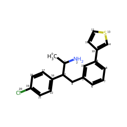 CC(N)C(Cc1cccc(-c2ccsc2)c1)c1ccc(Cl)cc1